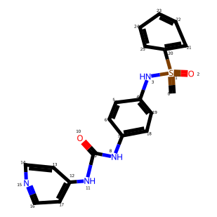 C=S(=O)(Nc1ccc(NC(=O)Nc2ccncc2)cc1)c1ccccc1